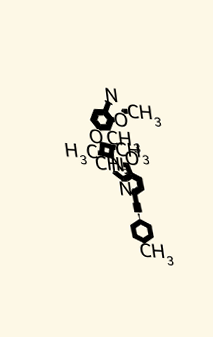 CCOc1cc(O[C@H]2C(C)(C)[C@H](N3Cc4nc(C#C[C@H]5CC[C@H](C)CC5)ccc4C3=O)C2(C)C)ccc1C#N